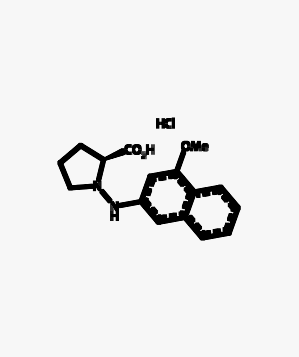 COc1cc(NN2CCC[C@H]2C(=O)O)cc2ccccc12.Cl